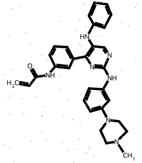 C=CC(=O)Nc1cccc(-c2nc(Nc3cccc(N4CCN(C)CC4)c3)ncc2Nc2ccccc2)c1